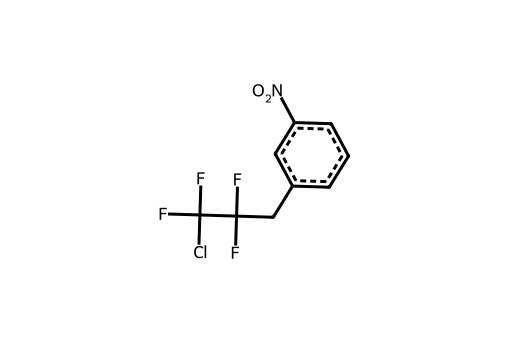 O=[N+]([O-])c1cccc(CC(F)(F)C(F)(F)Cl)c1